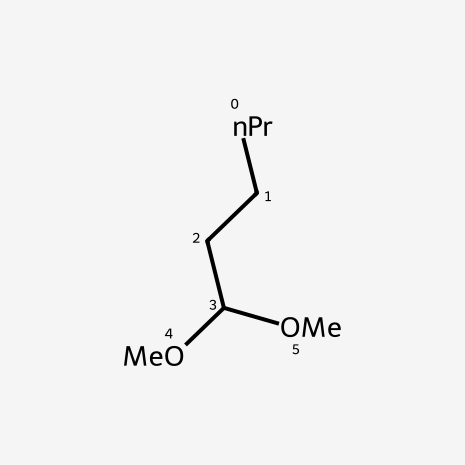 [CH2]CCCCC(OC)OC